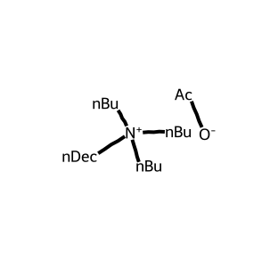 CC(=O)[O-].CCCCCCCCCC[N+](CCCC)(CCCC)CCCC